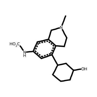 CN1CCc2c(cc(NC(=O)O)cc2C2CCCC(O)C2)C1